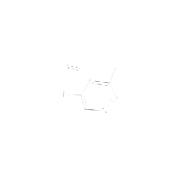 Cc1cncc(F)c1C=O